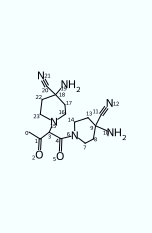 CC(=O)C(C(=O)N1CCC(N)(C#N)CC1)N1CCC(N)(C#N)CC1